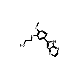 COc1ccc(-c2cc3nccnc3[nH]2)cc1OCCO